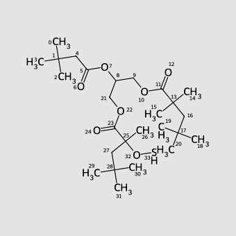 CC(C)(C)CC(=O)OC(COC(=O)C(C)(C)CC(C)(C)C)COC(=O)C(C)(CC(C)(C)C)OS